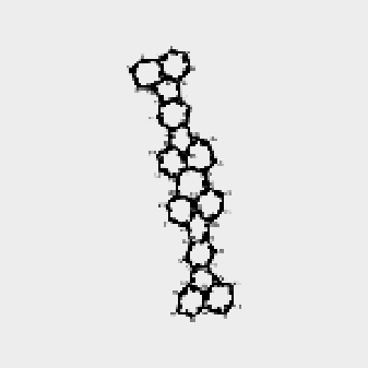 c1cc2cccc3c4cc5c(cc4c(c1)c23)c1ccc2c3ccc4c6cc7c(cc6c6ccc(c8ccc5c1c28)c3c46)c1cccc2cccc7c21